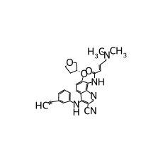 C#Cc1cccc(Nc2c(C#N)cnc3c(NC(=O)/C=C/CN(C)C)c(O[C@@H]4CCOC4)ccc23)c1